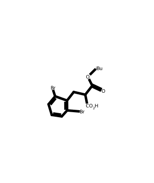 CCC(C)OC(=O)C(Cc1c(Br)cccc1Br)C(=O)O